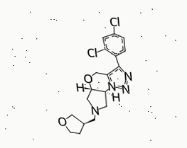 Clc1ccc(-c2nnn3c2CO[C@H]2CN(C[C@H]4CCOC4)C[C@@H]23)c(Cl)c1